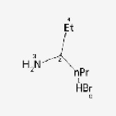 Br.CCCC(N)CC